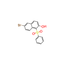 O=S(=O)(c1ccccc1)c1c(O)ccc2cc(Br)ccc12